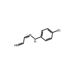 CCc1ccc(N/N=C\C=N)cc1